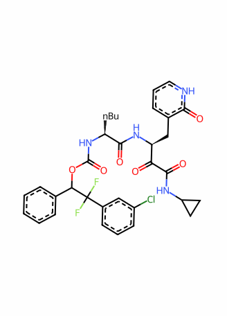 CCCC[C@H](NC(=O)OC(c1ccccc1)C(F)(F)c1cccc(Cl)c1)C(=O)N[C@@H](Cc1ccc[nH]c1=O)C(=O)C(=O)NC1CC1